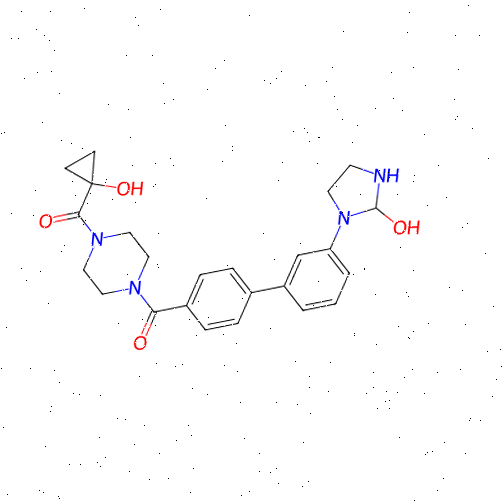 O=C(c1ccc(-c2cccc(N3CCNC3O)c2)cc1)N1CCN(C(=O)C2(O)CC2)CC1